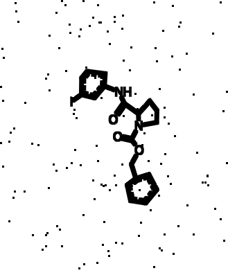 O=C(Nc1cccc(I)c1)C1CCCN1C(=O)OCc1ccccc1